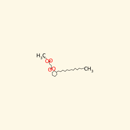 CCCCCCCCCCCCCCC1CCCCC1OC(=O)CCC(=O)OCCC